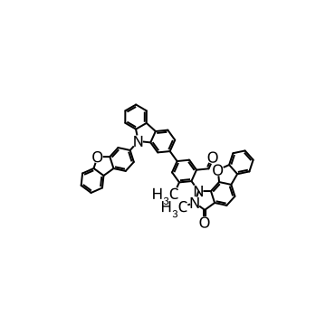 Cc1cc(-c2ccc3c4ccccc4n(-c4ccc5c(c4)oc4ccccc45)c3c2)cc(C=O)c1-n1c2c(ccc3c4ccccc4oc32)c(=O)n1C